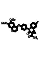 COc1cc2ncnc(Oc3ccc(N(C(=O)C4(C(N)=O)CC4)c4ccc(F)cc4)cc3)c2cc1OC